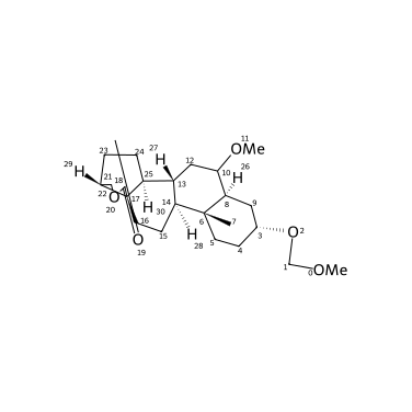 COCO[C@@H]1CC[C@@]2(C)[C@H](C1)C(OC)C[C@@H]1[C@@H]2CC[C@]23C(=O)OC[C@H]2CC[C@@H]13